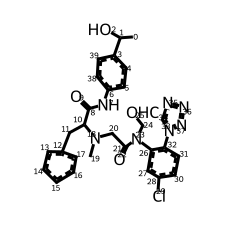 CC(O)c1ccc(NC(=O)C(Cc2ccccc2)N(C)CC(=O)N(CC=O)c2cc(Cl)ccc2-n2cnnn2)cc1